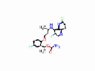 C[C@H](CCOc1ccc(F)cc1[C@@H](C)OC(N)=O)Nc1c(F)cnc2ccc(Cl)nc12